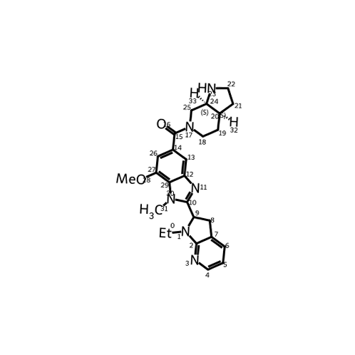 CCN1c2ncccc2CC1c1nc2cc(C(=O)N3CC[C@@H]4CCN[C@@H]4C3)cc(OC)c2n1C